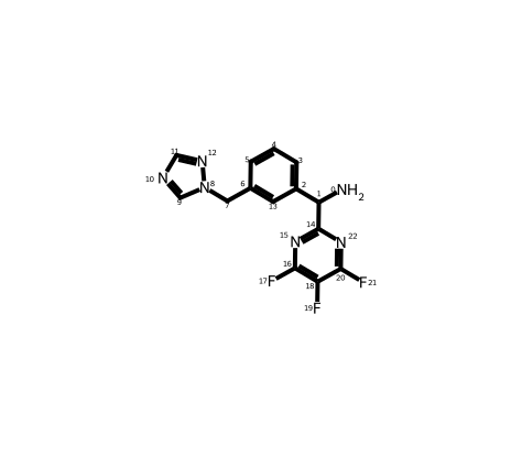 NC(c1cccc(Cn2cncn2)c1)c1nc(F)c(F)c(F)n1